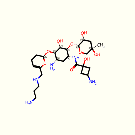 C[C@]1(O)CO[C@H](O[C@@H]2[C@@H](O)[C@H](O[C@@H]3CCC=C(CNCCCN)O3)[C@@H](N)C[C@H]2NC(=O)C2(O)CC(N)C2)[C@H](O)C1